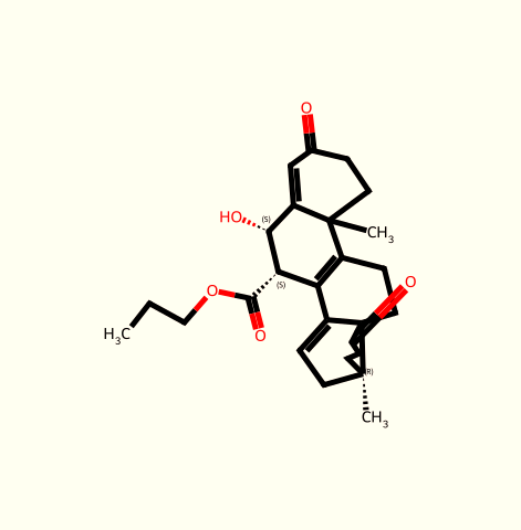 CCCOC(=O)[C@H]1C2=C(CCC34C(=O)CC[C@]3(C)CC=C24)C2(C)CCC(=O)C=C2[C@H]1O